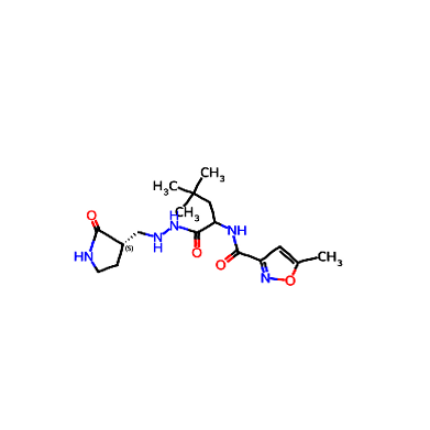 Cc1cc(C(=O)NC(CC(C)(C)C)C(=O)NNC[C@@H]2CCNC2=O)no1